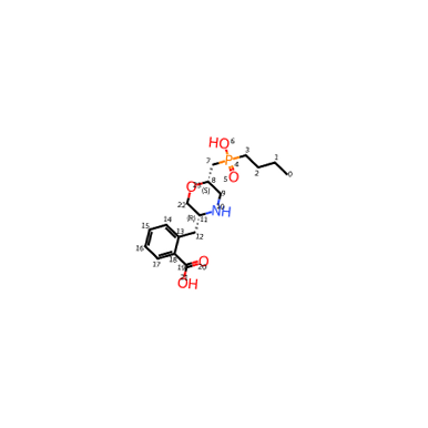 CCCCP(=O)(O)C[C@@H]1CN[C@H](Cc2ccccc2C(=O)O)CO1